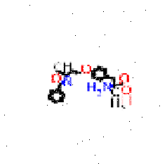 Cc1oc(-c2ccccc2)nc1CCOc1ccc(C[C@](C)(N)C(=O)O)cc1